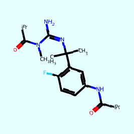 CC(C)C(=O)Nc1ccc(F)c(C(C)(C)/N=C(/N)N(C)C(=O)C(C)C)c1